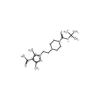 Cc1nn(CCN2CCN(C(=O)OC(C)(C)C)CC2)c(N)c1C(=O)O